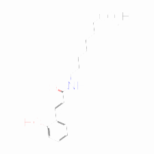 O=C(O)CCCCCCCNC(=O)/C=C/c1ccccc1O